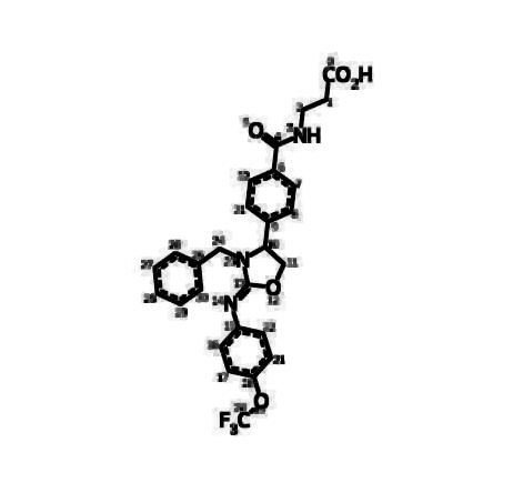 O=C(O)CCNC(=O)c1ccc(C2CO/C(=N\c3ccc(OC(F)(F)F)cc3)N2Cc2ccccc2)cc1